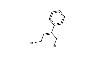 OCC=C(CO)c1ccccc1